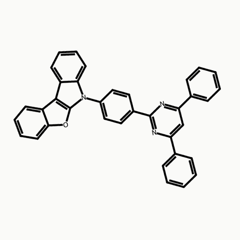 c1ccc(-c2cc(-c3ccccc3)nc(-c3ccc(-n4c5ccccc5c5c6ccccc6oc54)cc3)n2)cc1